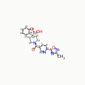 Cc1noc(-c2ccc(C(=O)N3CCC(C(=O)O)(c4ccccc4)CC3)cn2)n1